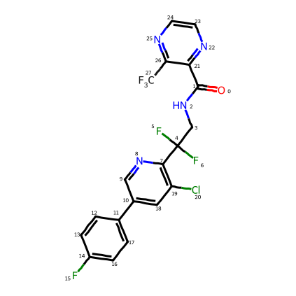 O=C(NCC(F)(F)c1ncc(-c2ccc(F)cc2)cc1Cl)c1nccnc1C(F)(F)F